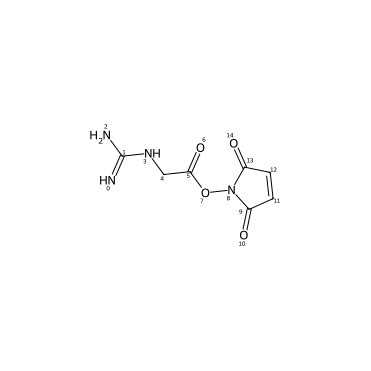 N=C(N)NCC(=O)ON1C(=O)C=CC1=O